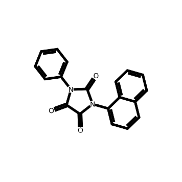 O=C1C(=O)N(c2cccc3ccccc23)C(=O)N1c1ccccc1